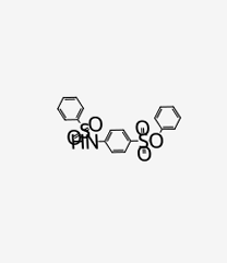 O=S(=O)(Nc1ccc(S(=O)(=O)Oc2ccccc2)cc1)c1ccccc1